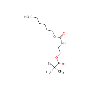 CCC(C)(C)C(=O)OCCNC(=O)OCCCCCC(=O)O